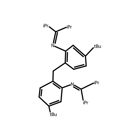 CC(C)C(=Nc1cc(C(C)(C)C)ccc1Cc1ccc(C(C)(C)C)cc1N=C(C(C)C)C(C)C)C(C)C